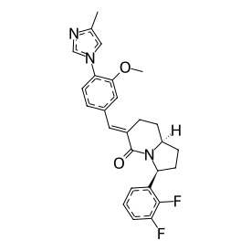 COc1cc(C=C2CC[C@H]3CC[C@@H](c4cccc(F)c4F)N3C2=O)ccc1-n1cnc(C)c1